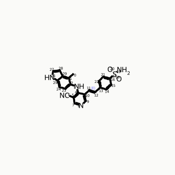 Cc1c(Nc2c(C#N)cncc2/C=C/c2ccc(S(N)(=O)=O)cc2)ccc2[nH]ccc12